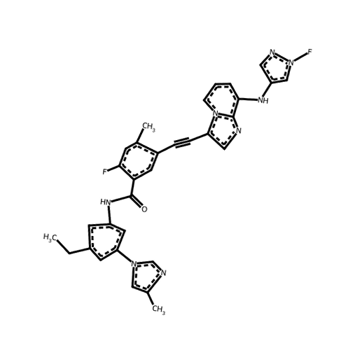 CCc1cc(NC(=O)c2cc(C#Cc3cnc4c(Nc5cnn(F)c5)cccn34)c(C)cc2F)cc(-n2cnc(C)c2)c1